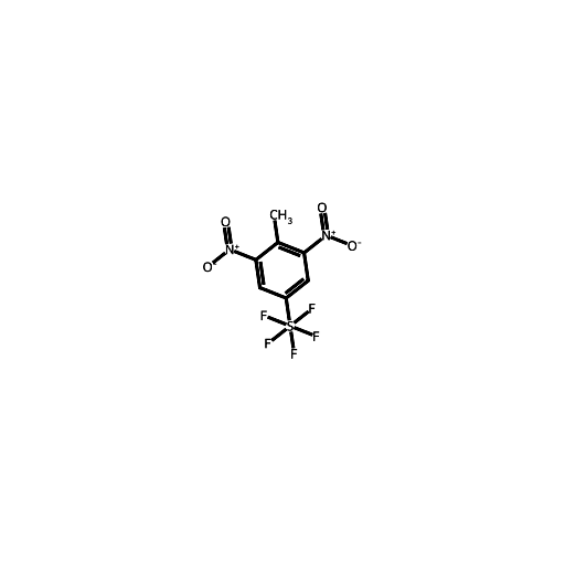 Cc1c([N+](=O)[O-])cc(S(F)(F)(F)(F)F)cc1[N+](=O)[O-]